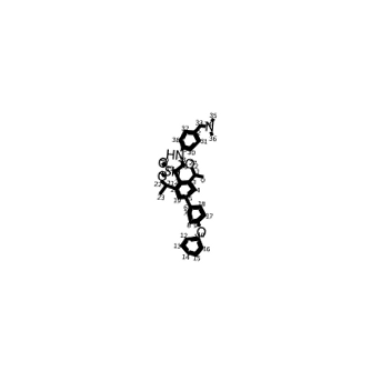 CC(C)c1cc(-c2ccc(Oc3ccccc3)cc2)cc(C(C)C)c1C(C(=O)Nc1ccc(CN(C)C)cc1)[SH](=O)=O